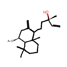 C=C[C@@](C)(O)CCC1C(=C)C[C@H](OC(C)=O)C2C(C)(C)CCCC12C